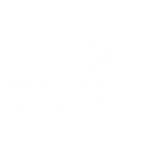 C[C@@H]1CN(C(=O)N(C)c2ccccc2)C[C@H](C)N1Cc1ccc(C(=O)NO)cc1